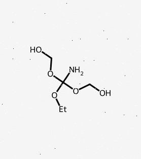 CCOC(N)(OCO)OCO